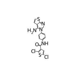 NC1=c2ccsc2=NCN1c1ccc(NC(=O)c2cc(Cl)sc2Cl)cc1